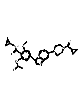 COc1cc(-c2cnc3cc(N4CCN(C(=O)C5CC5)CC4)ccn23)cc(OC(F)F)c1C(=O)NC1CC1